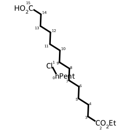 CCCCCCl.CCOC(=O)CCCCCCCCCCCCC(=O)O